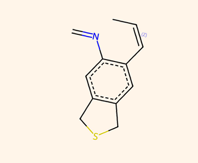 C=Nc1cc2c(cc1/C=C\C)CSC2